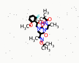 COc1cccc(F)c1C(O)Cn1cc(/C(C)=N/OC(C)C)c(=O)n(CC(C)NC(=O)C(C)C)c1=O